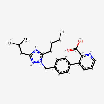 CCCCc1nc(CC(C)C)nn1Cc1ccc(-c2cccnc2C(=O)O)cc1